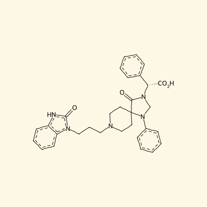 O=C(O)[C@@H](c1ccccc1)N1CN(c2ccccc2)C2(CCN(CCCn3c(=O)[nH]c4ccccc43)CC2)C1=O